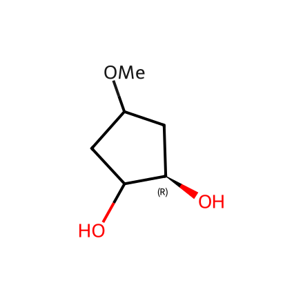 COC1CC(O)[C@H](O)C1